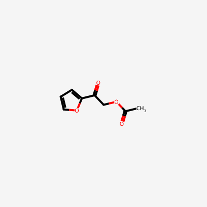 CC(=O)OCC(=O)c1ccco1